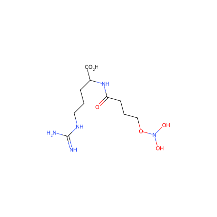 N=C(N)NCCCC(NC(=O)CCCON(O)O)C(=O)O